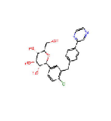 OC[C@H]1O[C@@H](c2ccc(Cl)c(Cc3ccc(-c4cnccn4)cc3)c2)[C@H](O)[C@@H](O)[C@@H]1O